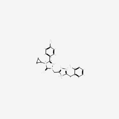 O=c1n(Cc2nnc(Cc3ccccc3F)[nH]2)nc(-c2ccc(Cl)cc2)n1C1CC1